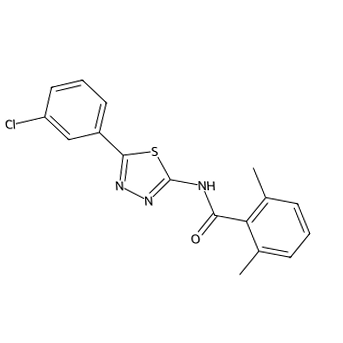 Cc1cccc(C)c1C(=O)Nc1nnc(-c2cccc(Cl)c2)s1